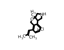 CC(C)=Cc1cccc2c1COC1(C)CNCC21.Cl